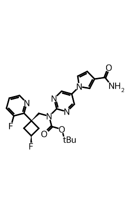 CC(C)(C)OC(=O)N(C[C@]1(c2ncccc2F)C[C@H](F)C1)c1ncc(-n2ccc(C(N)=O)c2)cn1